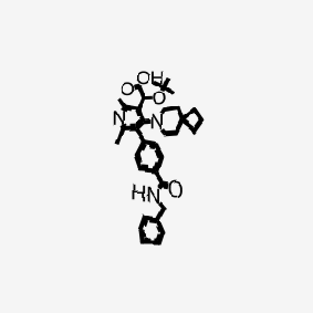 Cc1nc(C)c(C(OC(C)(C)C)C(=O)O)c(N2CCC3(CCC3)CC2)c1-c1ccc(C(=O)NCc2ccccc2)cc1